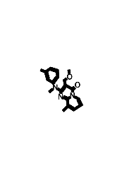 COCc1c(N(C)c2cccc(C)c2)nc2c(C)cccn2c1=O